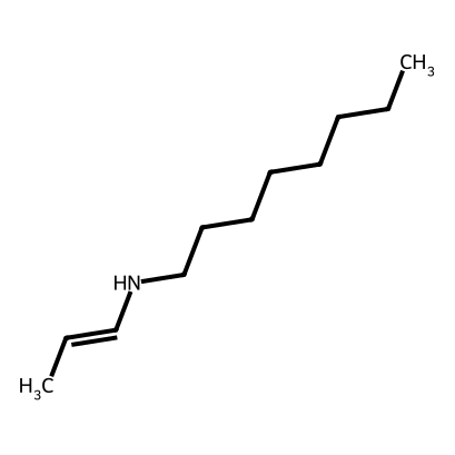 CC=CNCCCCCCCC